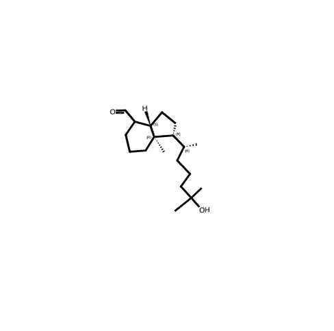 C[C@H](CCCC(C)(C)O)[C@H]1CC[C@H]2C(C=O)CCC[C@]12C